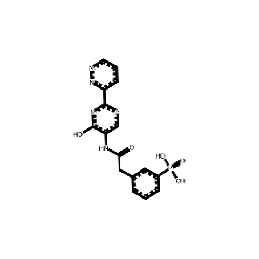 O=C(Cc1cccc(P(=O)(O)O)c1)Nc1cnc(-c2cccnn2)nc1O